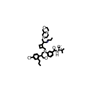 CC/C=C/C(CN1CCN2CCOCC2C1)C1CCC1CN1CC(c2ccc(Cl)cc2CCC)COc2ccc(C(=O)N[S+]([O-])C(C)C)cc21